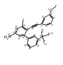 COc1cccc(C#Cc2c(C)nc(N)nc2-c2cccc(C(F)(F)F)c2)c1